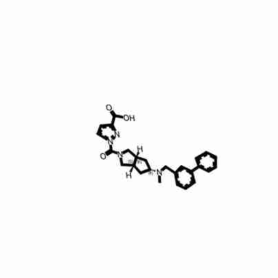 CN(Cc1cccc(-c2ccccc2)c1)[C@@H]1C[C@@H]2CN(C(=O)n3ccc(C(=O)O)n3)C[C@@H]2C1